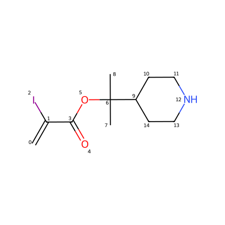 C=C(I)C(=O)OC(C)(C)C1CCNCC1